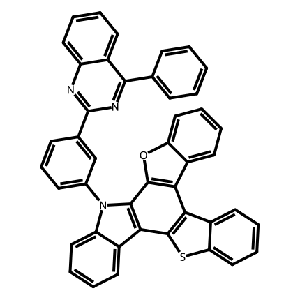 c1ccc(-c2nc(-c3cccc(-n4c5ccccc5c5c6sc7ccccc7c6c6c7ccccc7oc6c54)c3)nc3ccccc23)cc1